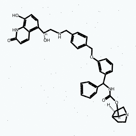 O=C(NC(c1ccccc1)c1cccc(OCc2ccc(CNC[C@H](O)c3ccc(O)c4[nH]c(=O)ccc34)cc2)c1)O[C@H]1CN2CCC1CC2